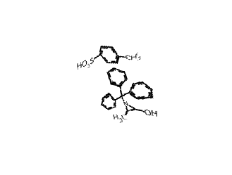 CC1C(O)N1C(c1ccccc1)(c1ccccc1)c1ccccc1.Cc1ccc(S(=O)(=O)O)cc1